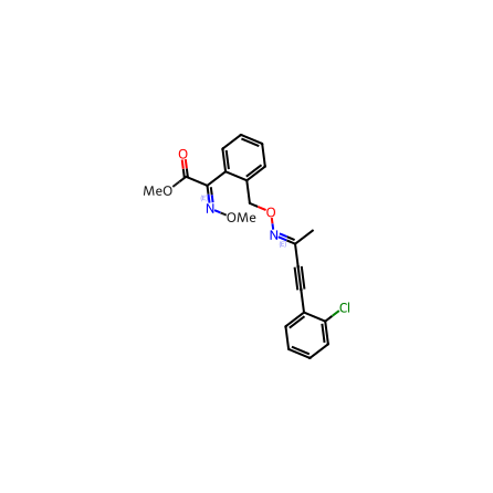 CO/N=C(/C(=O)OC)c1ccccc1CO/N=C(\C)C#Cc1ccccc1Cl